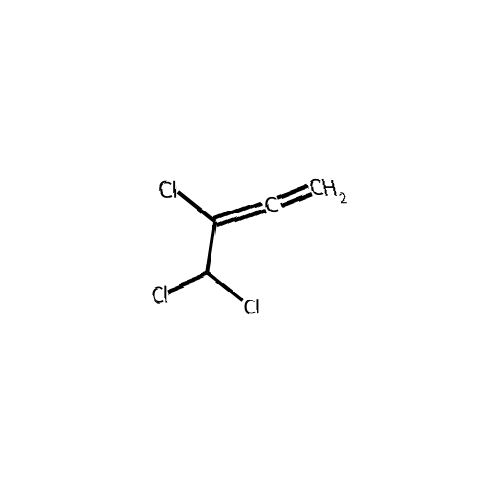 C=C=C(Cl)C(Cl)Cl